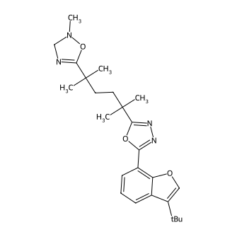 CN1CN=C(C(C)(C)CCC(C)(C)c2nnc(-c3cccc4c(C(C)(C)C)coc34)o2)O1